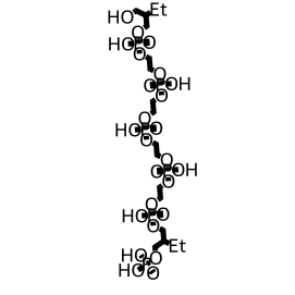 CCC(CO)COP(=O)(O)OCCOP(=O)(O)OCCOP(=O)(O)OCCOP(=O)(O)OCCOP(=O)(O)OCC(CC)COP(=O)(O)O